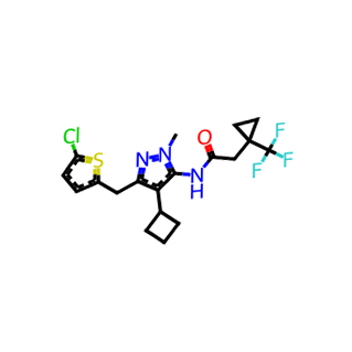 Cn1nc(Cc2ccc(Cl)s2)c(C2CCC2)c1NC(=O)CC1(C(F)(F)F)CC1